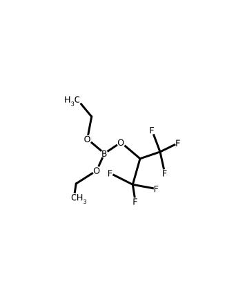 CCOB(OCC)OC(C(F)(F)F)C(F)(F)F